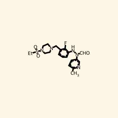 CCS(=O)(=O)N1CCN(Cc2cccc(NN(C=O)c3ccc(C)nc3)c2F)CC1